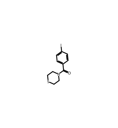 O=C(c1ccc(I)cc1)N1CCSCC1